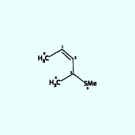 C/C=C\C(C)SC